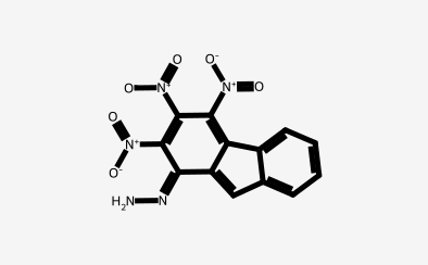 NN=C1C2=Cc3ccccc3C2=C([N+](=O)[O-])C([N+](=O)[O-])=C1[N+](=O)[O-]